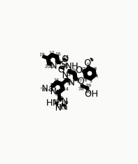 COc1ccccc1Oc1c(NS(=O)(=O)c2ccc(C)cn2)nc(-c2ccnc(-c3nnn[nH]3)c2)nc1OCCO.[Na]